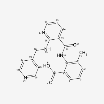 Cc1cccc(C(=O)O)c1NC(=O)c1cccnc1NCc1ccncc1